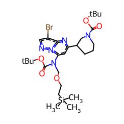 CC(C)(C)OC(=O)N1CCCC(c2cc(N(COCC[Si](C)(C)C)C(=O)OC(C)(C)C)n3ncc(Br)c3n2)C1